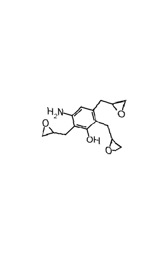 Nc1cc(CC2CO2)c(CC2CO2)c(O)c1CC1CO1